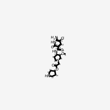 CO[C@H]1CN(CC(=O)OC2CCNCC2)CC[C@H]1NC(=O)c1cc(Cl)c(N)[nH]c1=O